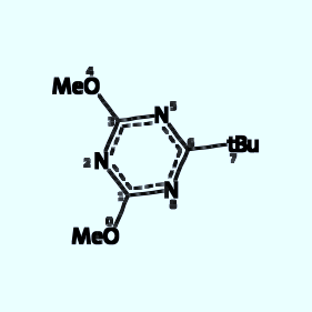 COc1nc(OC)nc(C(C)(C)C)n1